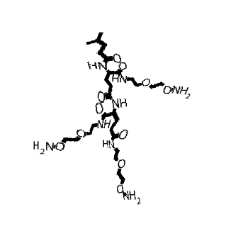 CC(C)CCC(=O)NC(CCC(=O)NC(CCC(=O)NCCOCCON)C(=O)NCCOCCON)C(=O)NCCOCCON